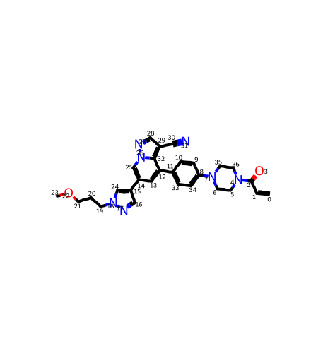 C=CC(=O)N1CCN(c2ccc(-c3cc(-c4cnn(CCCOC)c4)cn4ncc(C#N)c34)cc2)CC1